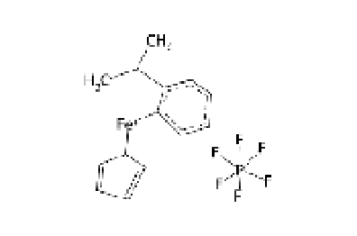 CC(C)c1cccc[c]1[Fe+][CH]1C=CC=C1.F[P-](F)(F)(F)(F)F